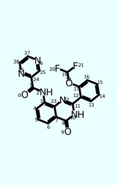 O=C(Nc1cccc2c(=O)[nH]c(-c3ccccc3OC(F)F)nc12)c1cnccn1